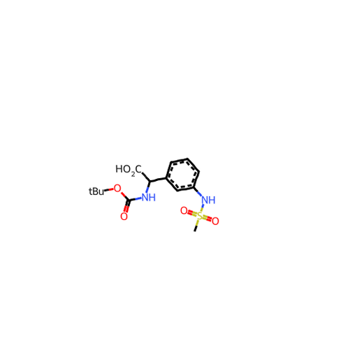 CC(C)(C)OC(=O)NC(C(=O)O)c1cccc(NS(C)(=O)=O)c1